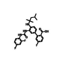 CC(C)CC(C)(C)Nc1ccc(-c2cc(F)ccc2C(=O)O)cc1NC(=O)Nc1ccc(F)cc1F